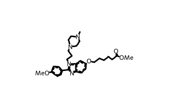 COC(=O)CCCCCOc1ccc2nc(-c3ccc(OC)cc3)n(CCCN3CCN(C)CC3)c2c1